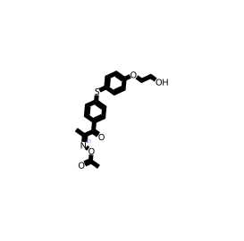 CC(=O)O/N=C(/C)C(=O)c1ccc(Sc2ccc(OCCO)cc2)cc1